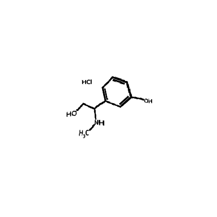 CNC(CO)c1cccc(O)c1.Cl